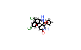 O=C1C[C@@H](c2cccc(Cl)c2)[C@]2(C(=O)Nc3cc(Cl)ccc32)[C@@H](C2=CCCC2)N1